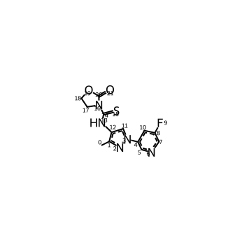 Cc1nn(-c2cncc(F)c2)cc1NC(=S)N1CCOC1=O